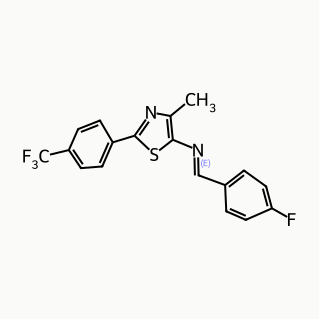 Cc1nc(-c2ccc(C(F)(F)F)cc2)sc1/N=C/c1ccc(F)cc1